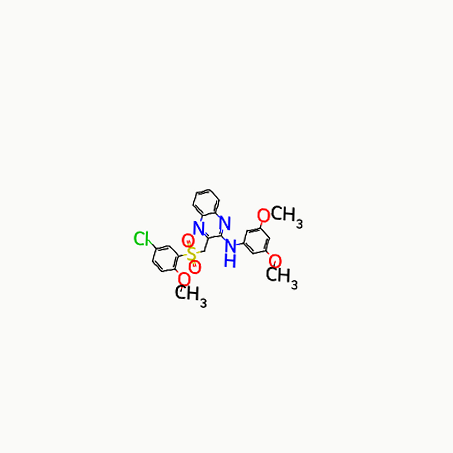 COc1cc(Nc2nc3ccccc3nc2CS(=O)(=O)c2cc(Cl)ccc2OC)cc(OC)c1